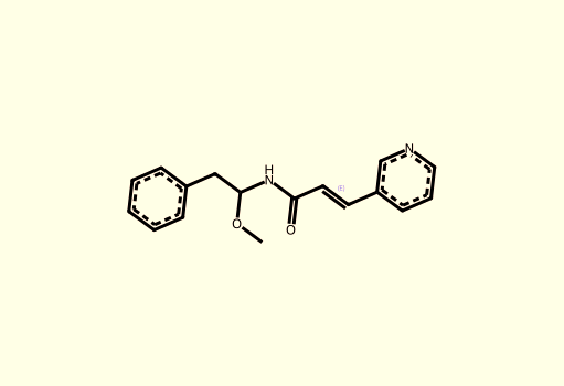 COC(Cc1ccccc1)NC(=O)/C=C/c1cccnc1